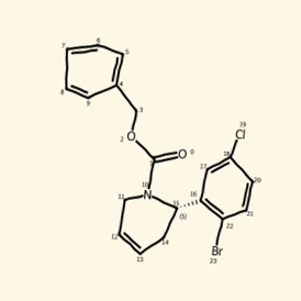 O=C(OCc1ccccc1)N1CC=CC[C@H]1c1cc(Cl)ccc1Br